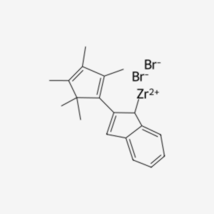 CC1=C(C)C(C)(C)C(C2=Cc3ccccc3[CH]2[Zr+2])=C1C.[Br-].[Br-]